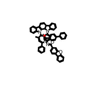 CC1=C=C(c2ccccc2)N=C(c2ccc(-c3ccccc3)cc2)N=C1n1c2c(c3ccccc31)C=CC1c3ccccc3N(c3ccc4nc(-c5ccc6c(c5)oc5ccccc56)oc4c3)C21